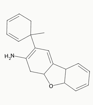 CC1(C2=C(N)CC3OC4C=CC=CC4C3=C2)C=CC=CC1